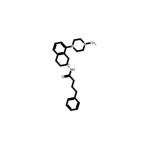 CN1CCN(c2cccc3c2C[C@H](NC(=O)CCCc2ccccc2)CC3)CC1